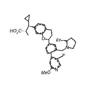 CCC1CCCN1Cc1cc(C2CCc3ccc([C@H](C4CC4)[C@H](C)C(=O)O)cc3O2)ccc1-c1cc(OC)ncc1F